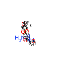 Nc1cc(S(=O)(=O)c2ccc(OC(F)(F)F)cc2)cnc1C(=O)NCC1CCCOC1